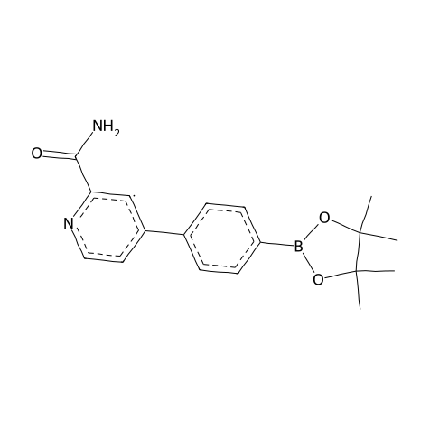 CC1(C)OB(c2ccc(-c3[c]c(C(N)=O)ncc3)cc2)OC1(C)C